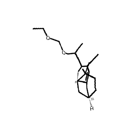 CCOCOC(C)C1C[C@]23C[C@H](CCC2(C)C)C3=CC1C